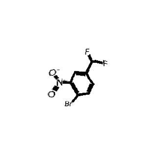 O=[N+]([O-])c1cc(C(F)F)ccc1Br